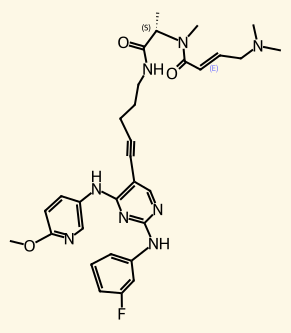 COc1ccc(Nc2nc(Nc3cccc(F)c3)ncc2C#CCCCNC(=O)[C@H](C)N(C)C(=O)/C=C/CN(C)C)cn1